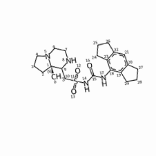 C[C@@]12CCCN1CCNC2CS(=O)(=O)NC(=O)Nc1c2c(cc3c1CCC3)CCC2